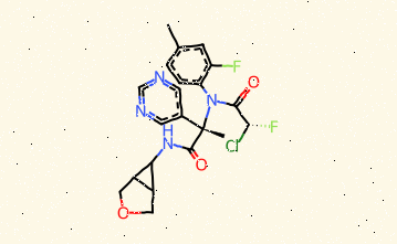 Cc1ccc(N(C(=O)[C@H](F)Cl)[C@](C)(C(=O)NC2C3COCC32)c2cncnc2)c(F)c1